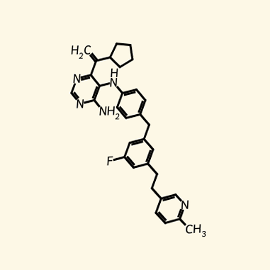 C=C(c1ncnc(N)c1Nc1ccc(Cc2cc(F)cc(CCc3ccc(C)nc3)c2)cc1)C1CCCC1